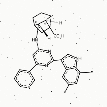 O=C(O)[C@@H]1C2CCC(CC2)[C@H]1Nc1cc(-c2cccnc2)nc(-c2c[nH]c3c(F)cc(F)cc23)n1